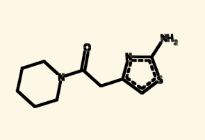 Nc1nc(CC(=O)N2CCCCC2)cs1